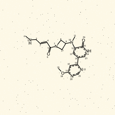 CNC/C=C/C(=O)N1CC(N(C)c2cc(-c3cc(OC)ncn3)c[nH]c2=O)C1